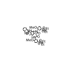 CCN(CC)S(=O)(=O)c1ccc(OC)c(NC(=O)C(C(=O)Nc2cc(S(=O)(=O)N(CC)CC)ccc2OC)c2ccc(C(=O)Nc3ccccc3N)cc2)c1